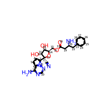 N#C[C@@]1(c2ccc3c(N)ncnn23)O[C@H](COC(=O)C[C@@H](N)Cc2ccccc2)[C@@H](O)[C@H]1O